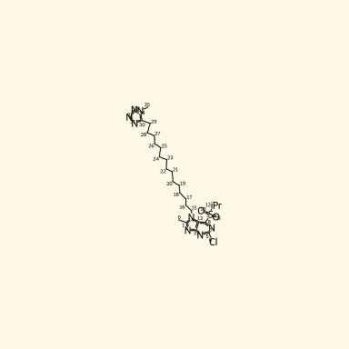 Cc1nc2nc(Cl)nc(S(=O)(=O)C(C)C)c2n1CCCCCCCCCCCCCCCc1nnnn1C